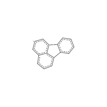 [c]1cc2c3c(cccc3c1)-c1ccccc1-2